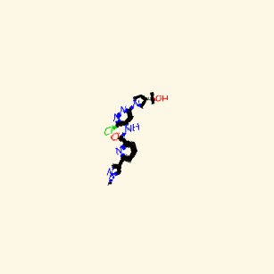 Cn1cc(-c2cccc(C(=O)Nc3cc(N4CC[C@@H](C(C)(C)O)C4)nnc3Cl)n2)cn1